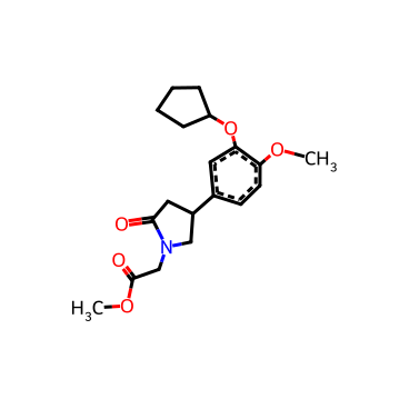 COC(=O)CN1CC(c2ccc(OC)c(OC3CCCC3)c2)CC1=O